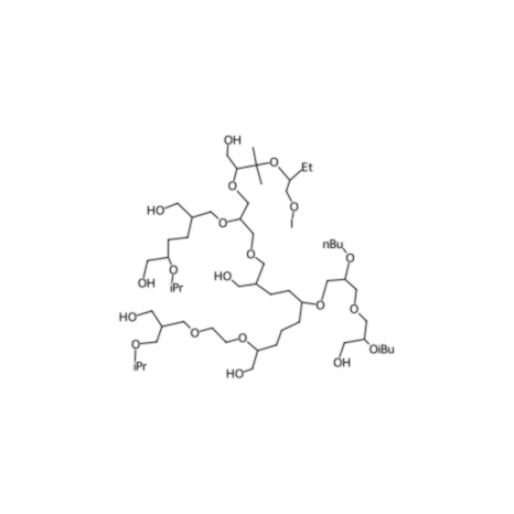 CCCCOC(COCC(CO)OCC(C)C)COC(CCCC(CO)OCCOCC(CO)COC(C)C)CCC(CO)COCC(COC(CO)C(C)(C)OC(CC)COI)OCC(CO)CCC(CO)OC(C)C